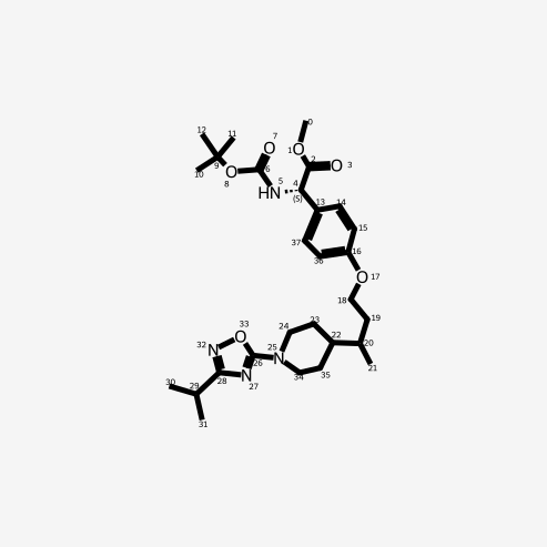 COC(=O)[C@@H](NC(=O)OC(C)(C)C)c1ccc(OCCC(C)C2CCN(c3nc(C(C)C)no3)CC2)cc1